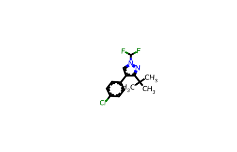 CC(C)(C)c1nn(C(F)F)cc1-c1ccc(Cl)cc1